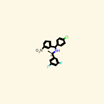 C[C@@H](NC(c1ccc(Cl)cc1)c1cccc([N+](=O)[O-])c1)c1cc(F)cc(F)c1